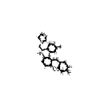 O=C(O)c1ccc(NC(Cn2ccnc2)c2ccc(F)cc2)cc1Cc1ccc(F)cc1